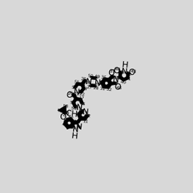 CC1(Oc2ccc3[nH]nc(-c4ccnc(N5CCC(C(=O)N6CCC(CN7CCN(c8ccc9c(c8)C(=O)N(C8CCC(=O)NC8=O)C9=O)CC7)CC6)CC5)c4)c3c2)CC1